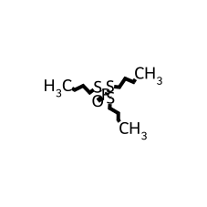 CCCCSP(=O)(SCCCC)SCCCC